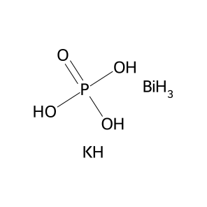 O=P(O)(O)O.[BiH3].[KH]